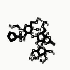 CCS[C@@H]1OC(COP)[C@H](O)[C@H](O[C@@H]2OC(COP)[C@@H]3OC(=O)O[C@@H]3C2O[C@@H]2OC(C)[C@@H](OP)[C@H](OP)C2OP)C1NS(=O)(=O)c1ccccc1